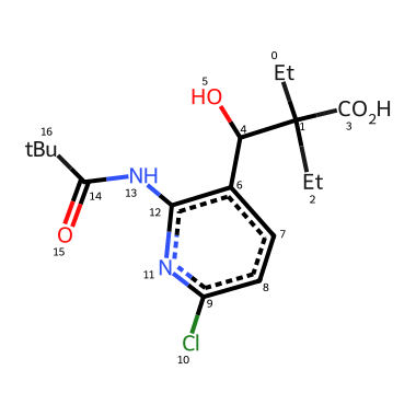 CCC(CC)(C(=O)O)C(O)c1ccc(Cl)nc1NC(=O)C(C)(C)C